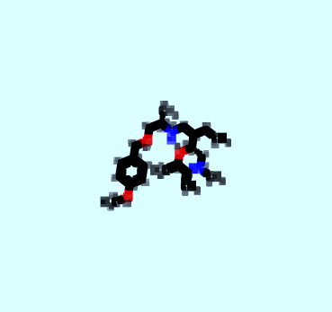 C=CC(=C)O[C@@H](CNC)C(CC)CN[C@@H](C)COCc1ccc(OC)cc1